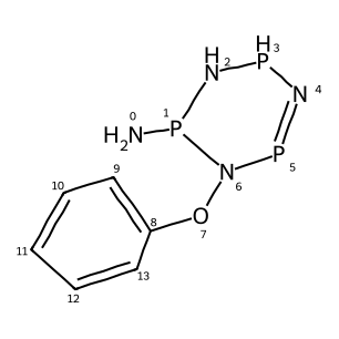 Np1[nH][pH]npn1Oc1ccccc1